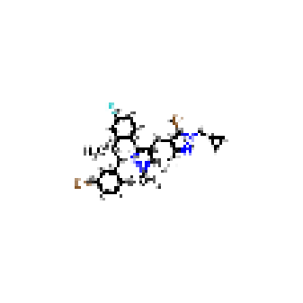 Cc1nn(CC2CC2)c(Br)c1Cc1cn(C)nc1-c1ccc(F)cc1[C@@H](C)Cc1cc(Br)ccc1N=O